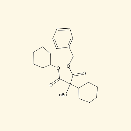 CCCCC(C(=O)OCc1ccccc1)(C(=O)OC1CCCCC1)C1CCCCC1